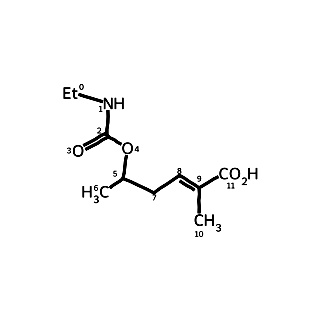 CCNC(=O)OC(C)C/C=C(\C)C(=O)O